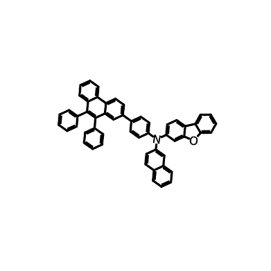 c1ccc(-c2c(-c3ccccc3)c3cc(-c4ccc(N(c5ccc6ccccc6c5)c5ccc6c(c5)oc5ccccc56)cc4)ccc3c3ccccc23)cc1